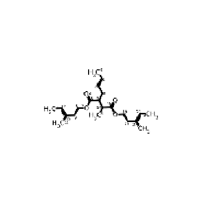 CC=CCC(C(=O)OCCC(C)=CC)C(C)C(=O)OCCC(C)=CC